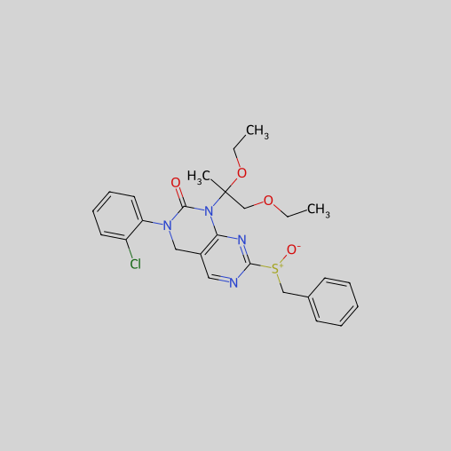 CCOCC(C)(OCC)N1C(=O)N(c2ccccc2Cl)Cc2cnc([S+]([O-])Cc3ccccc3)nc21